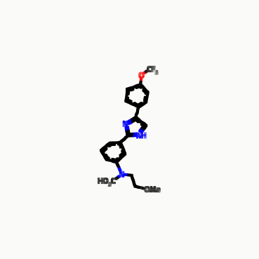 COCCN(C(=O)O)c1cccc(-c2nc(-c3ccc(OC(F)(F)F)cc3)c[nH]2)c1